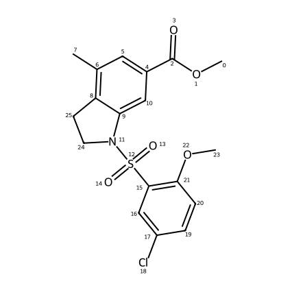 COC(=O)c1cc(C)c2c(c1)N(S(=O)(=O)c1cc(Cl)ccc1OC)CC2